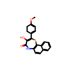 COC1=CC=C(C2=C(O)C(=O)Nc3ccc4ccccc4c3S2)CC1